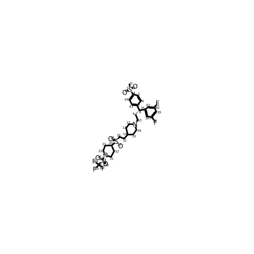 CS(=O)(=O)c1ccc([C@@H](CCN2CCC(CCS(=O)(=O)C3CCN(S(=O)(=O)C(F)(F)F)CC3)CC2)c2cc(F)cc(F)c2)cc1